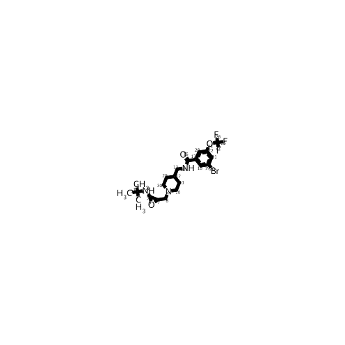 CC(C)(C)NC1OC1CN1CCC(CNC(=O)c2cc(Br)cc(OC(F)(F)F)c2)CC1